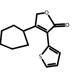 O=C1OCC(C2CCCCC2)=C1c1cccs1